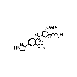 CO[C@H]1C[C@@H](S(=O)(=O)c2ccc(-c3cc[nH]n3)cc2C(F)(F)F)C[C@@H]1C(=O)O